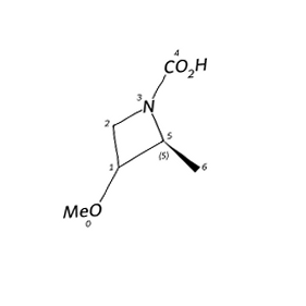 COC1CN(C(=O)O)[C@H]1C